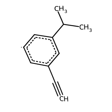 C#Cc1c[c]cc(C(C)C)c1